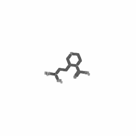 CN(C)CCC1COCCN1C(N)=O